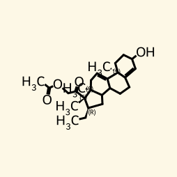 CC[C@@H]1CC2C3CCC4=CC(O)CC[C@]4(C)C3=CC[C@]2(C)[C@@]1(C)C(=O)COC(C)=O